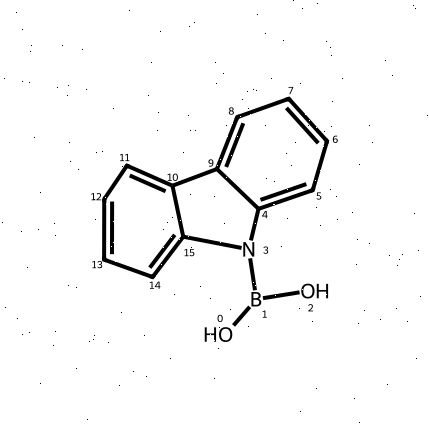 OB(O)n1c2ccccc2c2ccccc21